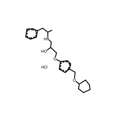 CC(Cc1ccccc1)NCC(O)COc1ccc(COC2CCCCC2)cc1.Cl